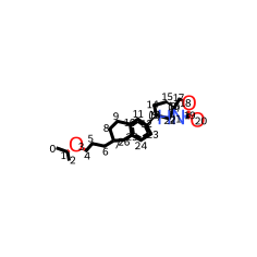 CC(C)OCCCC1CCc2cc([C@H]3CC[C@]4(COC(=O)N4)C3)ccc2C1